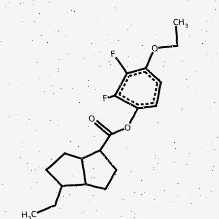 CCOc1ccc(OC(=O)C2CCC3C(CC)CCC23)c(F)c1F